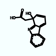 O=C(O)CC1(O)C=CC=C2C1=Nc1ccccc12